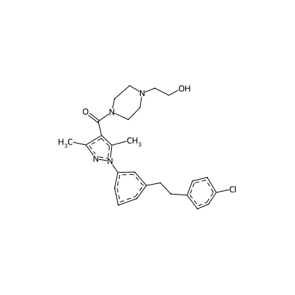 Cc1nn(-c2cccc(CCc3ccc(Cl)cc3)c2)c(C)c1C(=O)N1CCN(CCO)CC1